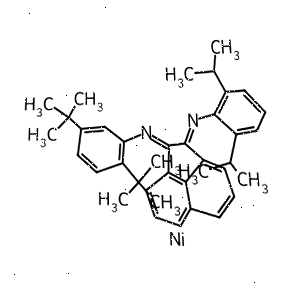 CC(C)c1cccc(C(C)C)c1N=C1C(=Nc2cc(C(C)(C)C)ccc2C(C)(C)C)c2cccc3cccc1c23.[Ni]